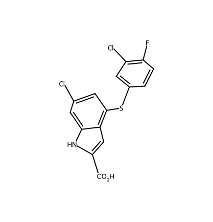 O=C(O)c1cc2c(Sc3ccc(F)c(Cl)c3)cc(Cl)cc2[nH]1